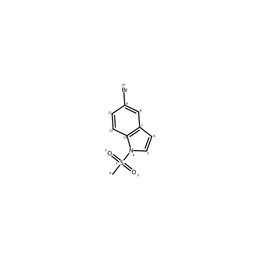 CS(=O)(=O)n1ccc2cc(Br)ccc21